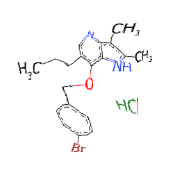 CCCc1cnc2c(C)c(C)[nH]c2c1OCc1ccc(Br)cc1.Cl